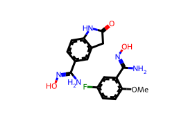 COc1ccc(F)cc1/C(N)=N/O.N/C(=N\O)c1ccc2c(c1)CC(=O)N2